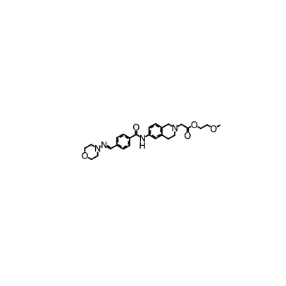 COCCOC(=O)CN1CCc2cc(NC(=O)c3ccc(/C=N/N4CCOCC4)cc3)ccc2C1